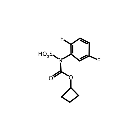 O=C(OC1CCC1)N(c1cc(F)ccc1F)S(=O)(=O)O